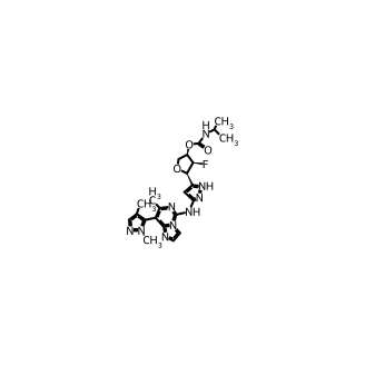 Cc1cnn(C)c1-c1c(C)nc(Nc2cc([C@H]3OC[C@@H](OC(=O)NC(C)C)[C@H]3F)[nH]n2)n2ccnc12